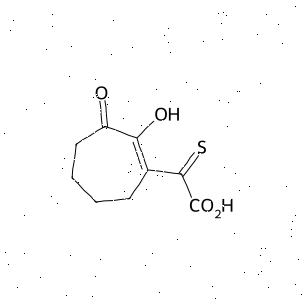 O=C(O)C(=S)C1=C(O)C(=O)CCCC1